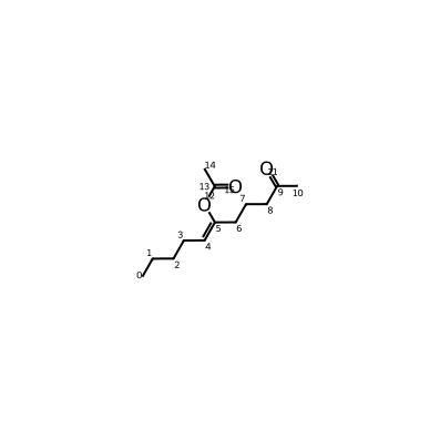 CCCCC=C(CCCC(C)=O)OC(C)=O